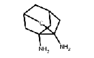 NC12CC3CC(C1)CC2(N)C3